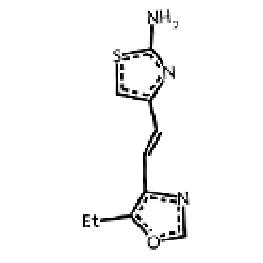 CCc1ocnc1C=Cc1csc(N)n1